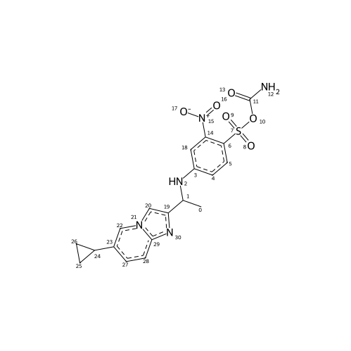 CC(Nc1ccc(S(=O)(=O)OC(N)=O)c([N+](=O)[O-])c1)c1cn2cc(C3CC3)ccc2n1